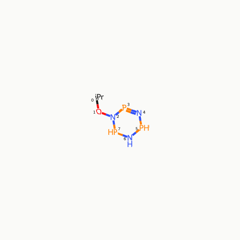 CC(C)On1pn[pH][nH][pH]1